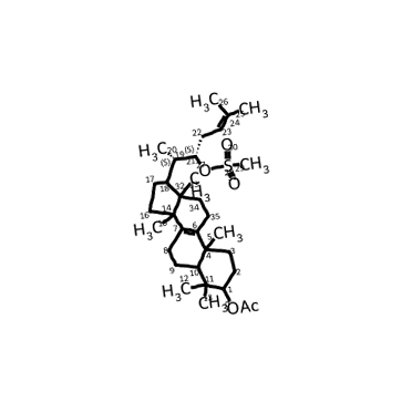 CC(=O)OC1CCC2(C)C3=C(CCC2C1(C)C)C1(C)CCC([C@H](C)[C@H](CC=C(C)C)OS(C)(=O)=O)C1(C)CC3